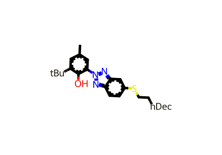 CCCCCCCCCCCCSc1ccc2nn(-c3cc(C)cc(C(C)(C)C)c3O)nc2c1